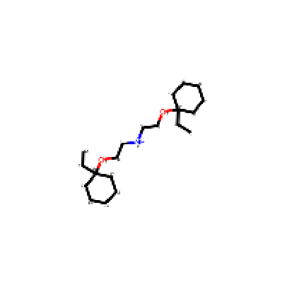 CCC1(OCCNCCOC2(CC)CCCCC2)CCCCC1